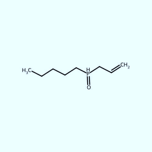 C=CC[PH](=O)CCCCC